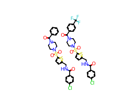 O=C(NCc1ccc(S(=O)(=O)N2CCN(C(=O)c3ccc(C(F)(F)F)cc3)CC2)s1)c1ccc(Cl)cc1.O=C(NCc1ccc(S(=O)(=O)N2CCN(C(=O)c3ccccc3)CC2)s1)c1ccc(Cl)cc1